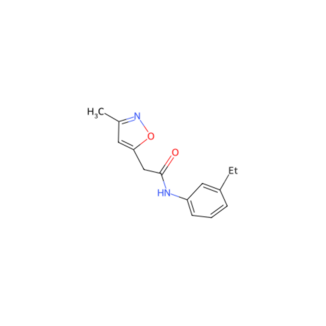 CCc1cccc(NC(=O)Cc2cc(C)no2)c1